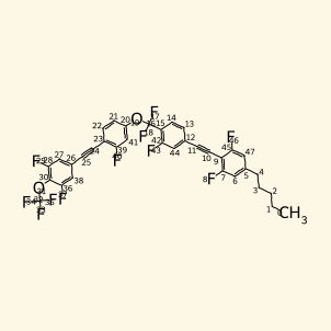 CCCCCc1cc(F)c(C#Cc2ccc(C(F)(F)Oc3ccc(C#Cc4cc(F)c(OC(F)(F)F)c(F)c4)c(F)c3)c(F)c2)c(F)c1